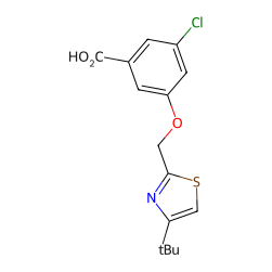 CC(C)(C)c1csc(COc2cc(Cl)cc(C(=O)O)c2)n1